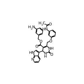 CC(=O)Nc1cccc(OCC2=C(C(=O)OCc3cccc(N)c3)C(c3c[nH]c4ncccc34)NC(=O)N2)c1